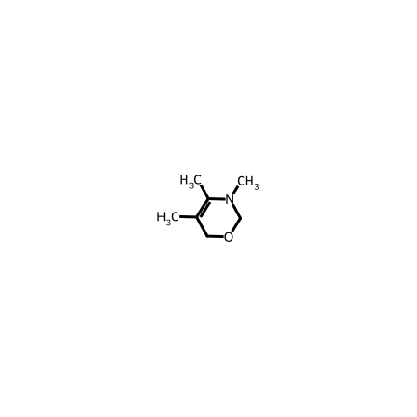 CC1=C(C)N(C)COC1